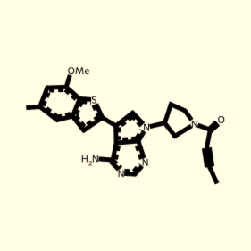 CC#CC(=O)N1CCC(n2cc(-c3cc4cc(C)cc(OC)c4s3)c3c(N)ncnc32)C1